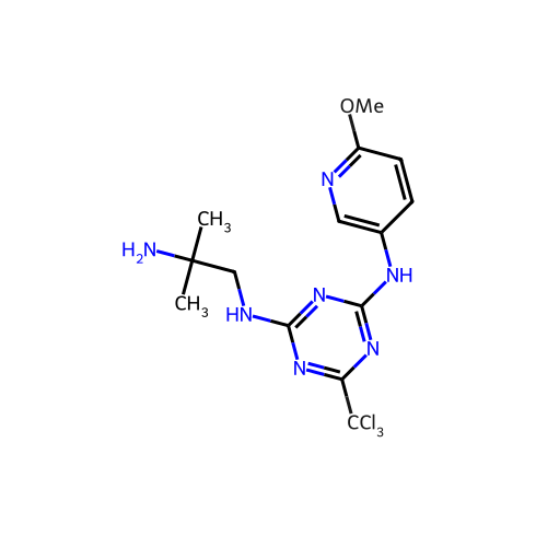 COc1ccc(Nc2nc(NCC(C)(C)N)nc(C(Cl)(Cl)Cl)n2)cn1